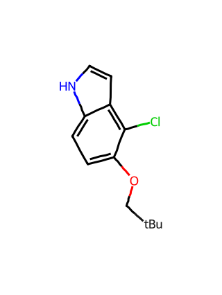 CC(C)(C)COc1ccc2[nH]ccc2c1Cl